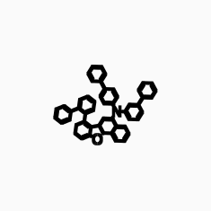 C1=C2OC3c4ccccc4C(N(c4ccc(-c5ccccc5)cc4)c4cccc(-c5ccccc5)c4)=CC3C2=C(c2ccccc2-c2ccccc2)CC1